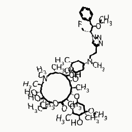 CC[C@H]1OC(=O)[C@H](C)[C@@H](O[C@H]2C[C@@](C)(OC)[C@@H](O)[C@H](C)O2)[C@H](C)[C@@H](O[C@H]2C[C@@H](N(C)CCc3cn([C@H](CF)[C@H](OC)c4ccccc4)nn3)C[C@@H](C)O2)[C@](C)(O)C[C@@H](C)CN(C)[C@H](C)[C@@H](O)[C@]1(C)O